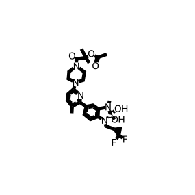 CC(=O)OC(C)(C)C(=O)N1CCN(c2ccc(C)c(-c3ccc4c(c3)N(C)S(O)(O)N4CC3CC3(F)F)n2)CC1